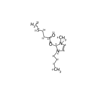 CCCCN1C=CN(C)C1OC(=O)CCSC